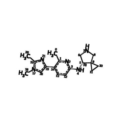 Cc1nc(N[C@@H]2CNCC23CC3)ccc1-c1cn(C)c(C)n1